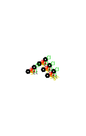 CCOP(=S)(Oc1ccc(Cl)cc1Cl)c1ccccc1.CCOP(=S)(Oc1ccc(Cl)cc1Cl)c1ccccc1.CCOP(=S)(Oc1ccc(Cl)cc1Cl)c1ccccc1.CCOP(=S)(Oc1ccc(Cl)cc1Cl)c1ccccc1.[S-2].[S-2]